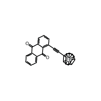 O=C1c2ccccc2C(=O)c2c(C#C[C]34[CH]5[CH]6[CH]7[CH]3[Fe]6754389%10[CH]4[CH]3[CH]8[CH]9[CH]4%10)cccc21